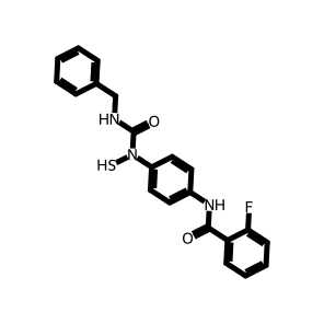 O=C(Nc1ccc(N(S)C(=O)NCc2ccccc2)cc1)c1ccccc1F